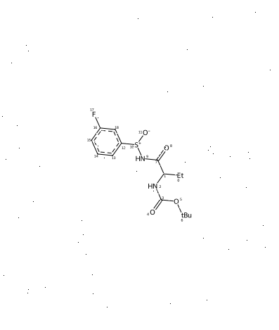 CCC(NC(=O)OC(C)(C)C)C(=O)N[S+]([O-])c1cccc(F)c1